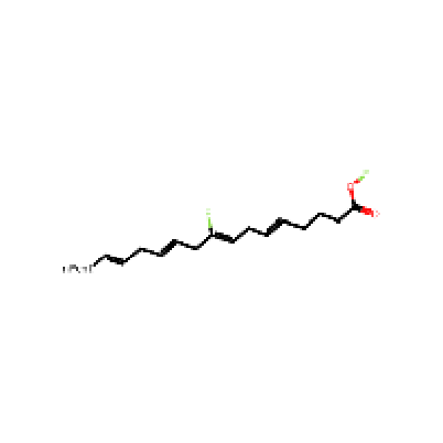 CCCCCC=CCC=CCC(F)=CCC=CCCCC(=O)OF